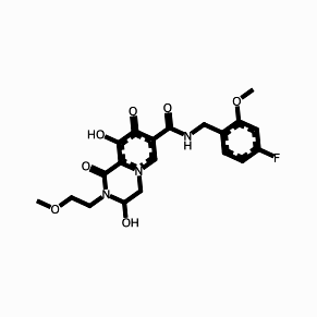 COCCN1C(=O)c2c(O)c(=O)c(C(=O)NCc3ccc(F)cc3OC)cn2CC1O